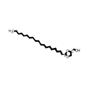 CCCCCCCCCCCCCCCCCCC[C@@H]1OC[C@@H](CO)O1